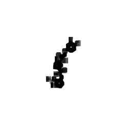 CN1NCCC1CNC(=O)C12CC(C1)[C@@H](NC(=O)COc1ccc(Cl)c(F)c1)C2